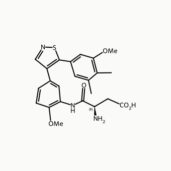 COc1ccc(-c2cnsc2-c2cc(C)c(C)c(OC)c2)cc1NC(=O)[C@H](N)CC(=O)O